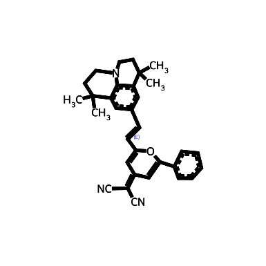 CC1(C)CCN2CCC(C)(C)c3cc(/C=C/C4=CC(=C(C#N)C#N)C=C(c5ccccc5)O4)cc1c32